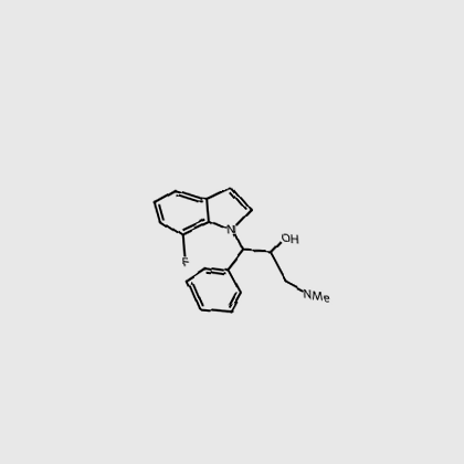 CNCC(O)C(c1ccccc1)n1ccc2cccc(F)c21